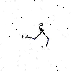 CCCCC/C=C/C=C\CCCCCCCCC1(CCCCCCCC/C=C\C=C\CCCCC)OC2CN(Cc3ccncc3)CC2O1